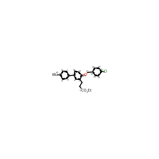 CCOC(=O)CCc1cc(-c2ccc(C(C)(C)C)cc2)ccc1OCc1ccc(Cl)cc1